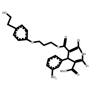 CCC1=C(C(=O)OC)C(c2cccc([N+](=O)[O-])c2)C(C(=O)OCCCOc2ccc(CCO)cc2)=C(CC)N1